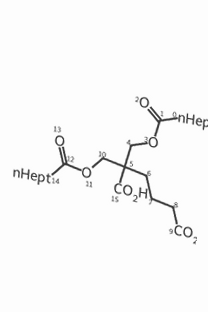 CCCCCCCC(=O)OCC(CCCC(=O)O)(COC(=O)CCCCCCC)C(=O)O